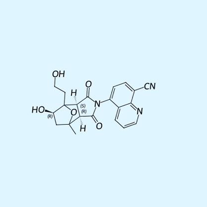 CC12C[C@@H](O)C(CCO)(O1)[C@H]1C(=O)N(c3ccc(C#N)c4ncccc34)C(=O)[C@H]12